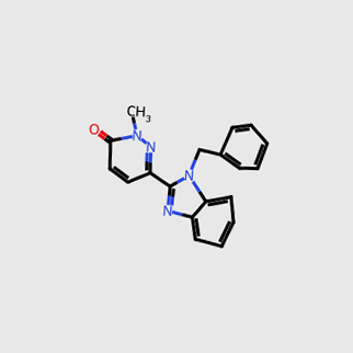 Cn1nc(-c2nc3ccccc3n2Cc2ccccc2)ccc1=O